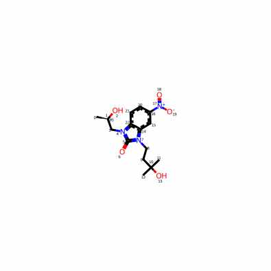 C[C@@H](O)Cn1c(=O)n(CCC(C)(C)O)c2cc([N+](=O)[O-])ccc21